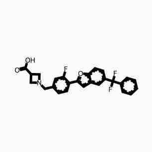 O=C(O)C1CN(Cc2ccc(-c3cc4cc(C(F)(F)c5ccccc5)ccc4o3)c(F)c2)C1